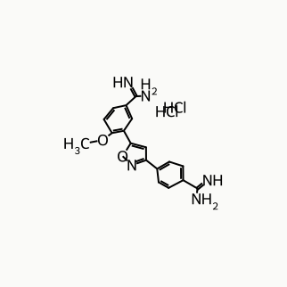 COc1ccc(C(=N)N)cc1-c1cc(-c2ccc(C(=N)N)cc2)no1.Cl.Cl